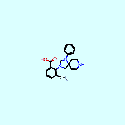 Cc1cccc(C(=O)O)c1N1CN(c2ccccc2)C2(CCNCC2)C1